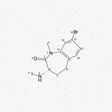 CN1C(=O)[C@@H](NI)CCc2ccc(Br)cc21